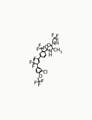 C[C@@H](NC(=O)c1ccc(/C(F)=C/C(c2ccc(OCC(F)(F)F)c(Cl)c2)C(F)(F)F)cc1C(F)(F)F)C(=O)NCC(F)(F)F